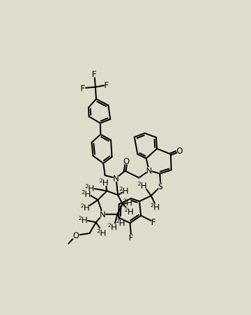 [2H]C([2H])(Sc1cc(=O)c2ccccc2n1CC(=O)N(Cc1ccc(-c2ccc(C(F)(F)F)cc2)cc1)C1([2H])C([2H])([2H])C([2H])([2H])N(C([2H])([2H])COC)C([2H])([2H])C1([2H])[2H])c1cccc(F)c1F